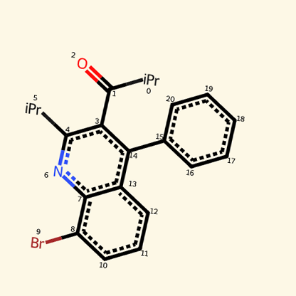 CC(C)C(=O)c1c(C(C)C)nc2c(Br)cccc2c1-c1ccccc1